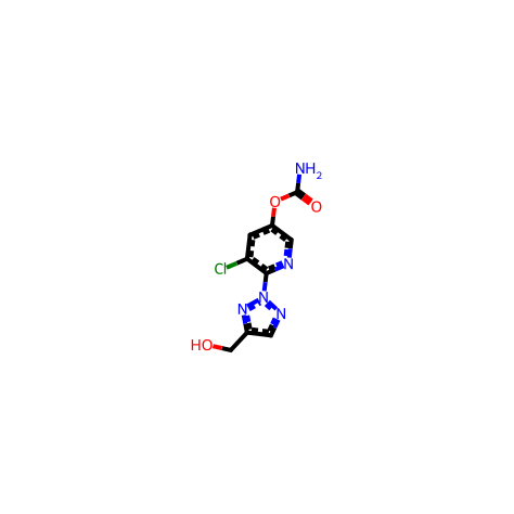 NC(=O)Oc1cnc(-n2ncc(CO)n2)c(Cl)c1